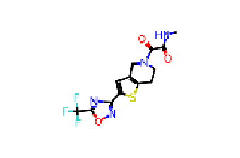 CNC(=O)C(=O)N1CCc2sc(-c3noc(C(F)(F)F)n3)cc2C1